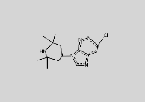 CC1(C)CC(n2cnc3cc(Cl)nnc32)CC(C)(C)N1